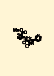 COC(=O)c1sccc1NC(=O)c1sc(-c2cccnc2)nc1Cl